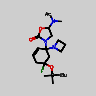 CC(=O)N(C)C1CN(C2(N3CCC3)C=CCC(F)(O[Si](C)(C)C(C)(C)C)C2)C(=O)O1